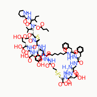 CCCC(=O)OCN(C(=O)[C@@H](NC(=O)[C@H]1CCCCN1C)C(C)CC)[C@H](C[C@@H](OC(C)=O)c1nc(C(=O)N[C@@H](Cc2ccc(O)cc2)C[C@H](C)C(=O)NNC(=O)OCCSSC[C@H](NC(=O)[C@H](CC(=O)O)NC(=O)[C@@H](N)CNC(=O)[C@H](Cc2ccccc2)NC(=O)[C@H](Cc2ccccc2)NC(=O)CCCCCCCNC(=O)CC[C@H](NC(=O)N[C@@H](CCC(=O)O)C(=O)O)C(=O)O)C(=O)O)cs1)C(C)C